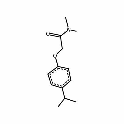 CC(C)c1ccc(OCC(=O)N(C)C)cc1